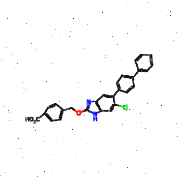 O=C(O)c1ccc(COc2nc3cc(-c4ccc(-c5ccccc5)cc4)c(Cl)cc3[nH]2)cc1